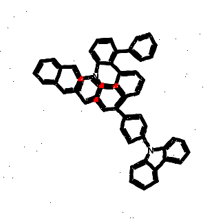 c1ccc(-c2ccccc2-c2c(-c3ccccc3)cccc2N(c2ccc(-c3ccc(-n4c5ccccc5c5ccccc54)cc3)cc2)c2ccc3ccccc3c2)cc1